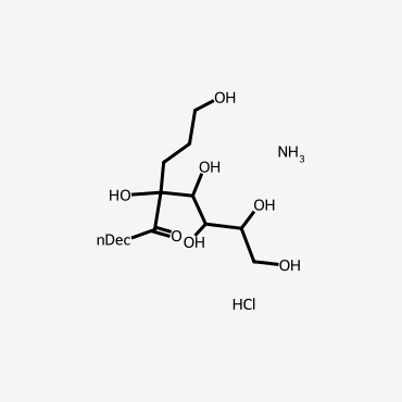 CCCCCCCCCCC(=O)C(O)(CCCO)C(O)C(O)C(O)CO.Cl.N